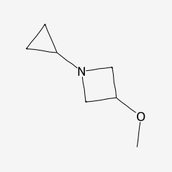 COC1CN(C2CC2)C1